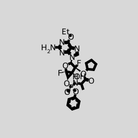 CCOc1nc(N)nc2c1ncn2[C@@H]1O[C@]2(F)[C@@H](OP(=O)(NC(C)C(=O)OC3CCCC3)Oc3ccccc3)[C@]2(O)[C@@]1(C)F